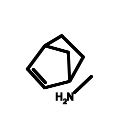 C1=CC2CCC1C2.CN